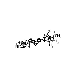 COCC1CC(c2ncc(-c3ccc4c(c3)COc3cc5c(ccc6nc([C@@H]7C[C@@H]8C[C@@]8(C(C)(C)C)N7C(=O)O)[nH]c65)cc3-4)[nH]2)N(C(=O)[C@@H](NC(=O)OC)C(C)C)C1